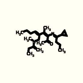 C=C(CC)N(C)CC(=C\CCC)/C(C)=C(/N=C(\CCC)C1CC1)C(C)=O